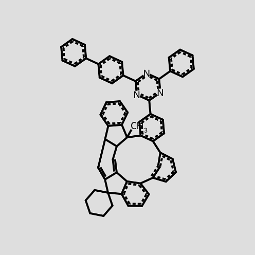 CC12c3cc(-c4nc(-c5ccccc5)nc(-c5ccc(-c6ccccc6)cc5)n4)ccc3-c3cccc(c3)-c3cccc4c3C3=CC1C(C=C3C41CCCCC1)c1ccccc12